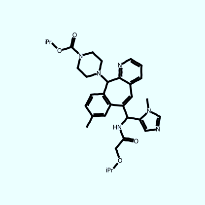 Cc1ccc2c(c1)C(C(NC(=O)COC(C)C)c1cncn1C)=Cc1cccnc1C2N1CCN(C(=O)OC(C)C)CC1